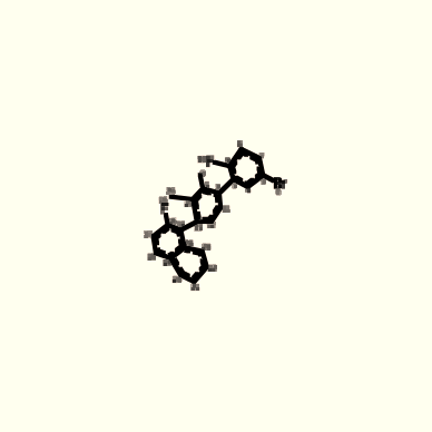 Cc1c(-c2cc(Br)ccc2F)ccc(-c2c(F)ccc3ccccc23)c1C